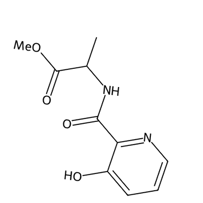 COC(=O)C(C)NC(=O)c1ncccc1O